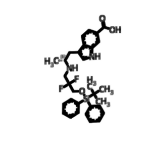 C[C@H](Cc1c[nH]c2cc(C(=O)O)ccc12)NCC(F)(F)CO[Si](c1ccccc1)(c1ccccc1)C(C)(C)C